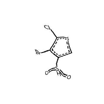 O=[SH](=O)c1csc(Cl)c1Br